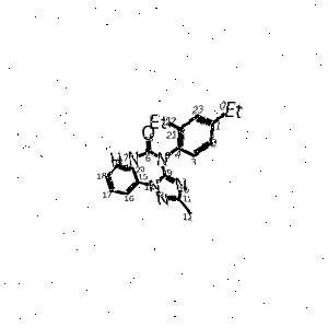 CCc1ccc(N(C(N)=O)c2nc(C)nn2-c2ccccc2)c(CC)c1